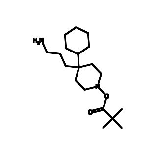 CC(C)(C)C(=O)ON1CCC(CCCN)(C2CCCCC2)CC1